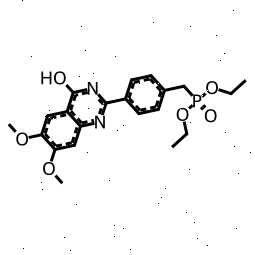 CCOP(=O)(Cc1ccc(-c2nc(O)c3cc(OC)c(OC)cc3n2)cc1)OCC